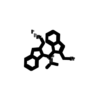 CC(C)CC1=Cc2ccccc2[CH]1[Zr+2]([CH]1C(CC(C)C)=Cc2ccccc21)[SiH](C)C.[I-].[I-]